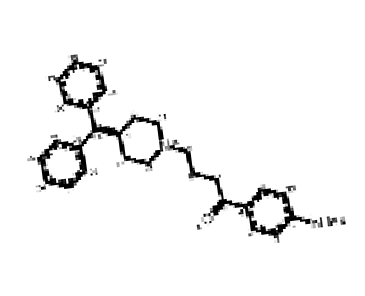 CCCCCCc1ccc(C(=O)CCCN2CCC(=C(c3ccccc3)c3ccccc3)CC2)cc1